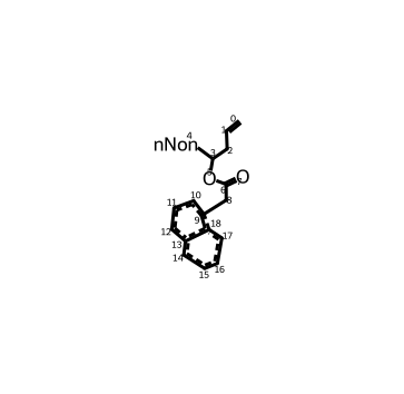 C=CCC(CCCCCCCCC)OC(=O)Cc1cccc2ccccc12